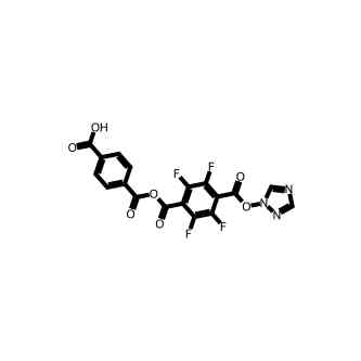 O=C(O)c1ccc(C(=O)OC(=O)c2c(F)c(F)c(C(=O)On3cncn3)c(F)c2F)cc1